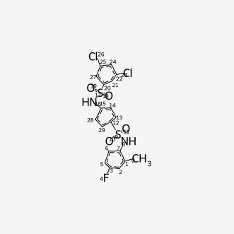 Cc1cc(F)ccc1NS(=O)(=O)c1ccc(NS(=O)(=O)c2cc(Cl)cc(Cl)c2)cc1